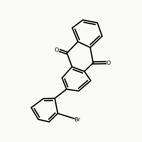 O=C1c2ccccc2C(=O)c2cc(-c3ccccc3Br)ccc21